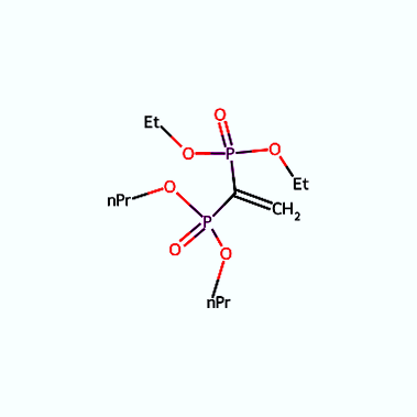 C=C(P(=O)(OCC)OCC)P(=O)(OCCC)OCCC